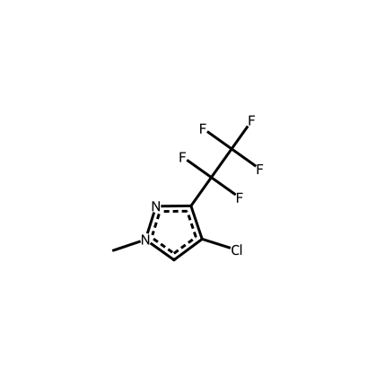 Cn1cc(Cl)c(C(F)(F)C(F)(F)F)n1